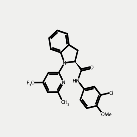 COc1ccc(NC(=O)[C@@H]2Cc3ccccc3N2c2cc(C(F)(F)F)cc(C)n2)cc1Cl